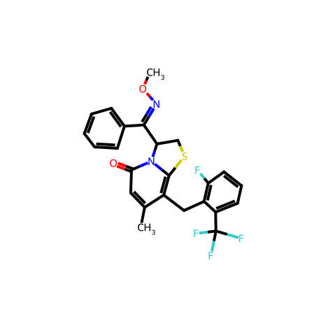 CO/N=C(\c1ccccc1)C1CSc2c(Cc3c(F)cccc3C(F)(F)F)c(C)cc(=O)n21